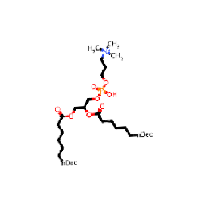 CCCCCCCCCCCCCCCC(=O)OCC(COP(=O)(O)OCCC[N+](C)(C)C)OC(=O)CCCCCCCCCCCCCCC